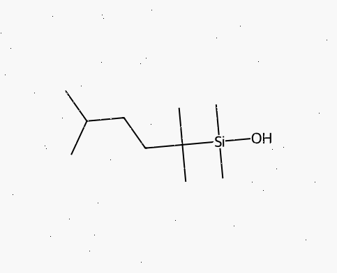 CC(C)CCC(C)(C)[Si](C)(C)O